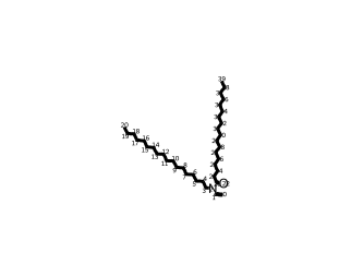 C=CN(CCCCCCCCCCCCCCCCCC)C(=O)CCCCCCCCCCCCCCCCC